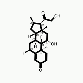 C[C@@H]1C[C@H]2[C@@H]3C[C@H](F)C4=CC(=O)C=C[C@]4(C)[C@@]3(F)[C@@H](O)C[C@@]2(C)[C@H]1C(=O)CO